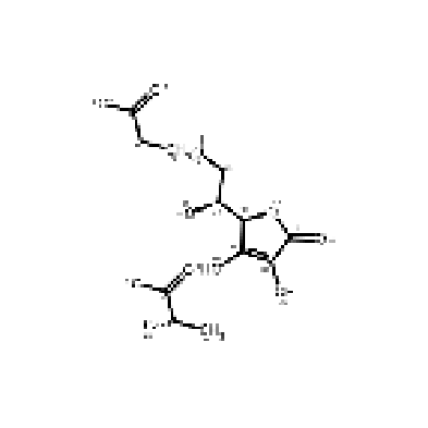 CCC(=O)[O-].CCC(=O)[O-].O=C1O[C@H]([C@@H](O)CO)C(O)=C1O.[Ca+2]